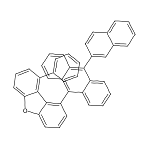 c1ccc(-c2cccc3oc4cccc(-c5c6ccccc6c(-c6ccc7ccccc7c6)c6ccccc56)c4c23)cc1